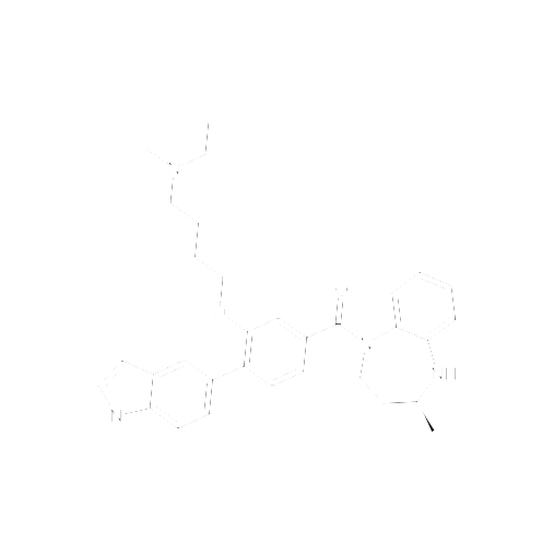 CCN(C)CCCCOc1cc(C(=O)N2CC[C@H](C)Nc3ccccc32)ccc1-c1ccc2[nH]ccc2c1